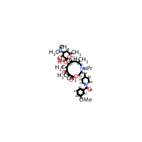 CCCN1C[C@H](C)C[C@@](C)(OC)[C@H](O[C@@H]2O[C@H](C)C[C@H](N(C)C)[C@H]2O)[C@@H](C)C(=O)C(C)(C)C(=O)OC[C@H]1CC1CCN(C(=O)c2cccc(OC)c2)CC1